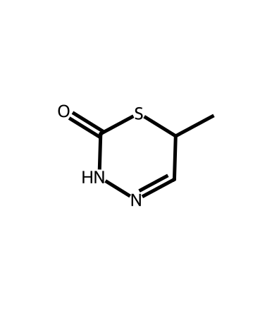 CC1C=NNC(=O)S1